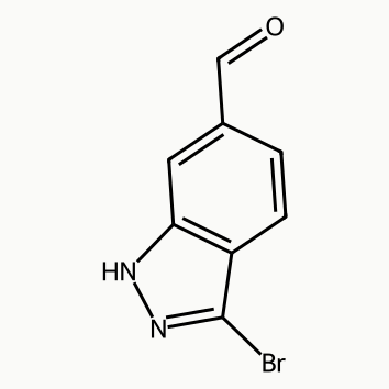 O=Cc1ccc2c(Br)n[nH]c2c1